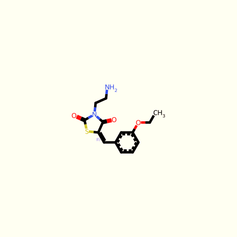 CCOc1cccc(/C=C2/SC(=O)N(CCN)C2=O)c1